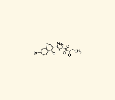 CCC(=O)S(=O)(=O)c1nnc(-c2coc3cc(Br)ccc3c2=O)s1